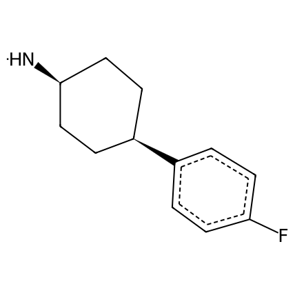 [NH][C@H]1CC[C@@H](c2ccc(F)cc2)CC1